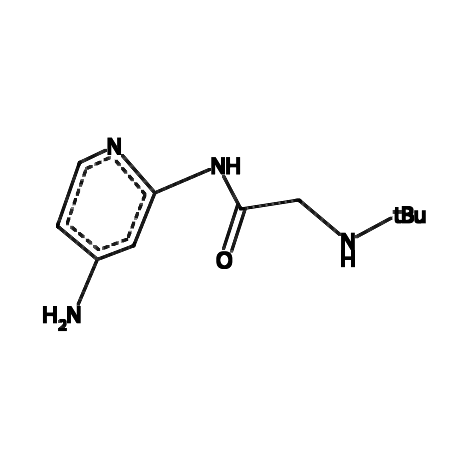 CC(C)(C)NCC(=O)Nc1cc(N)ccn1